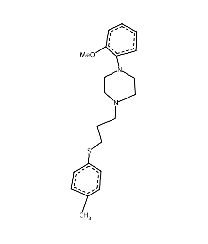 COc1ccccc1N1CCN(CCCSc2ccc(C)cc2)CC1